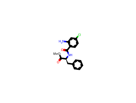 COC(=O)[C@H](Cc1ccccc1)NC(=O)c1ccc(Cl)cc1N